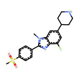 Cn1c(-c2ccc(S(C)(=O)=O)cc2)nc2c(F)cc(C3CCNCC3)cc21